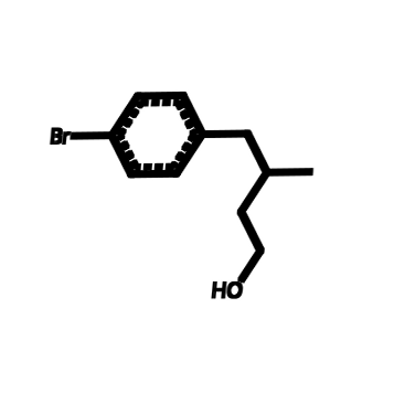 CC(CCO)Cc1ccc(Br)cc1